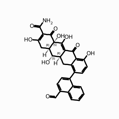 NC(=O)C1=C(O)C[C@@H]2[C@@H](O)[C@@H]3Cc4c(-c5ccc(C=O)c6ccccc56)ccc(O)c4C(=O)C3=C(O)[C@]2(O)C1=O